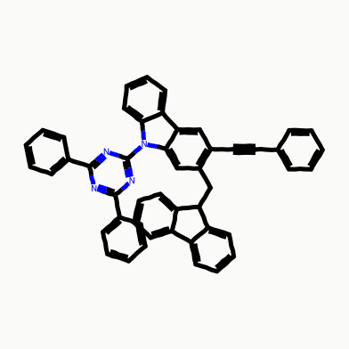 C(#Cc1cc2c3ccccc3n(-c3nc(-c4ccccc4)nc(-c4ccccc4)n3)c2cc1CC1c2ccccc2-c2ccccc21)c1ccccc1